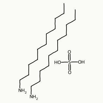 CCCCCCCCCCCN.CCCCCCCCCCCN.O=S(=O)(O)O